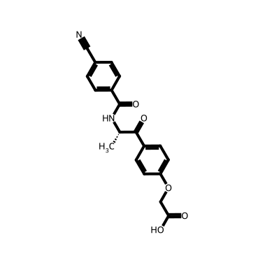 C[C@H](NC(=O)c1ccc(C#N)cc1)C(=O)c1ccc(OCC(=O)O)cc1